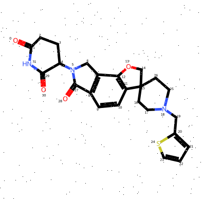 O=C1CCC(N2Cc3c(ccc4c3OCC43CCN(Cc4cccs4)CC3)C2=O)C(=O)N1